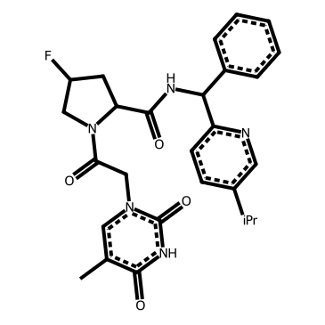 Cc1cn(CC(=O)N2CC(F)CC2C(=O)NC(c2ccccc2)c2ccc(C(C)C)cn2)c(=O)[nH]c1=O